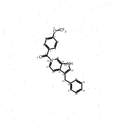 O=C(c1ccc(OC(F)(F)F)cc1)[n+]1ccc2c(Cc3ccccc3)c[nH]c2c1